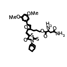 COc1cc(OC)cc(-c2cc(CCCOC(=O)C(N)CC(N)=O)c(C=C3SC(=S)N(C4CC5CCC4C5)C3=O)o2)c1